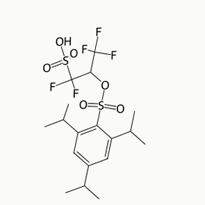 CC(C)c1cc(C(C)C)c(S(=O)(=O)OC(C(F)(F)F)C(F)(F)S(=O)(=O)O)c(C(C)C)c1